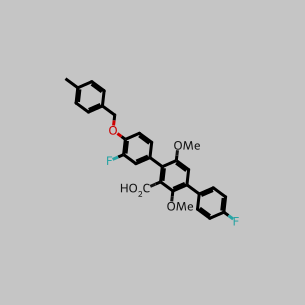 COc1cc(-c2ccc(F)cc2)c(OC)c(C(=O)O)c1-c1ccc(OCc2ccc(C)cc2)c(F)c1